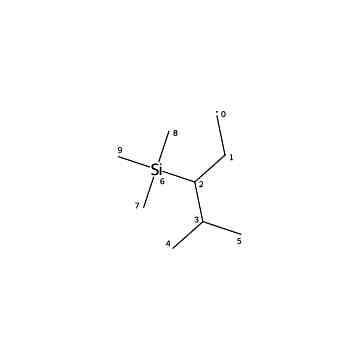 [CH2]CC(C(C)C)[Si](C)(C)C